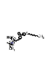 CCCCCCCCCCSc1ccc(N2c3ccc(C=CC=c4s/c(=C5/SC(=S)N(CCC)C5=O)n(CC(=O)O)c4=O)cc3C3CCCC32)cc1